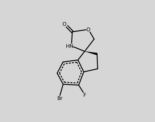 O=C1N[C@]2(CCc3c2ccc(Br)c3F)CO1